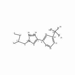 CCC(C)Cn1cc(-c2cccc(C(F)(F)F)c2)nn1